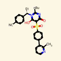 CCCCc1nc(=O)c(S(=O)(=O)c2ccc(-c3cccnc3C)cc2)c(O)n1[C@@H](CC)c1ccc(C#N)cc1